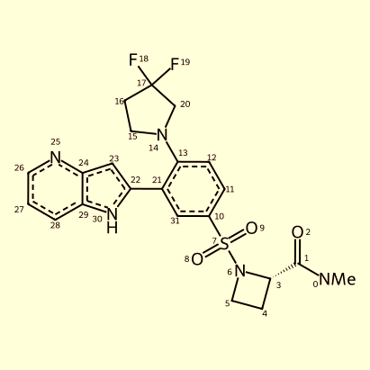 CNC(=O)[C@@H]1CCN1S(=O)(=O)c1ccc(N2CCC(F)(F)C2)c(-c2cc3ncccc3[nH]2)c1